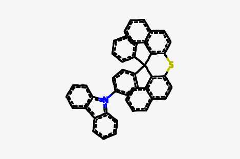 c1ccc(C2(c3ccc(-n4c5ccccc5c5ccccc54)cc3)c3c(ccc4ccccc34)Sc3ccc4ccccc4c32)cc1